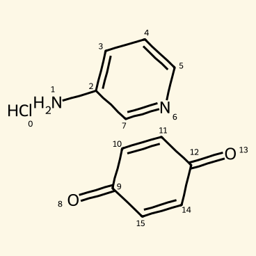 Cl.Nc1cccnc1.O=C1C=CC(=O)C=C1